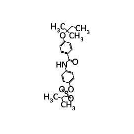 CCC(C)(C)Oc1ccc(C(=O)Nc2ccc(OS(=O)(=O)C(C)C)cc2)cc1